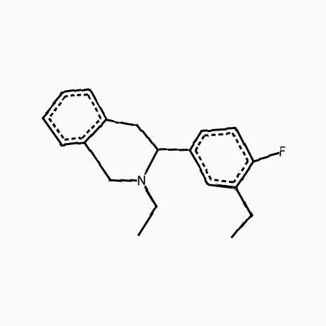 CCc1cc(C2Cc3ccccc3CN2CC)ccc1F